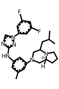 Cc1cc(Nc2ncn(-c3cc(F)cc(F)c3)n2)cc(N2CC(CC(C)C)N3CCC[C@@H]3C2)c1